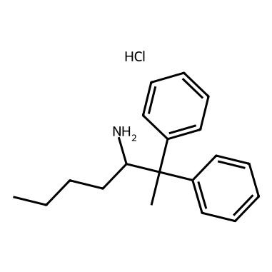 CCCCC(N)C(C)(c1ccccc1)c1ccccc1.Cl